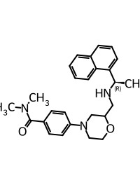 C[C@@H](NCC1CN(c2ccc(C(=O)N(C)C)cc2)CCO1)c1cccc2ccccc12